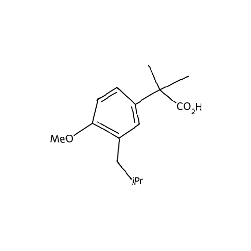 COc1ccc(C(C)(C)C(=O)O)cc1CC(C)C